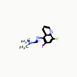 CN(C)/C=N/c1c(I)cc(F)c2ncccc12